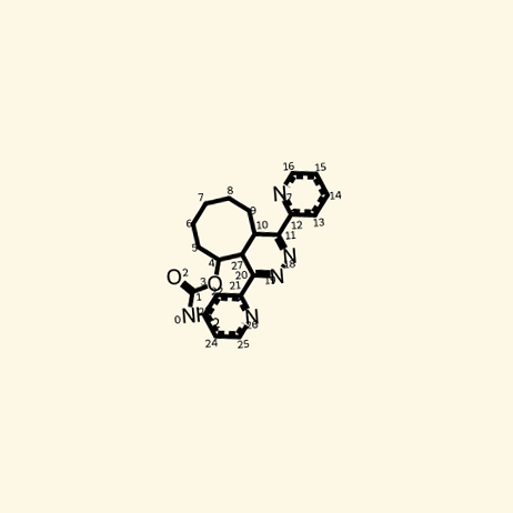 NC(=O)OC1CCCCCC2C(c3ccccn3)=NN=C(c3ccccn3)C12